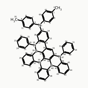 Cc1ccc(N(c2ccc(C)cc2)c2ccc3c(c2)N(c2ccccc2)B2c4ccccc4N4c5ccccc5B5c6ccccc6N(c6ccccc6)c6cc-3c2c4c65)cc1